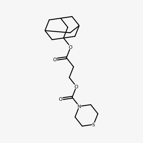 O=C(CCOC(=O)N1CCSCC1)OC12CC3CC(CC(C3)C1)C2